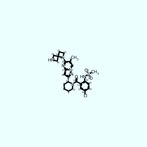 Cc1cn2nc([C@@H]3CCCCN3C(=O)c3cc(Cl)ccc3NS(C)(=O)=O)cc2nc1N1CCC12CNC2